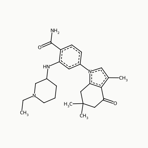 CCN1CCCC(Nc2cc(-n3cc(C)c4c3CC(C)(C)CC4=O)ccc2C(N)=O)C1